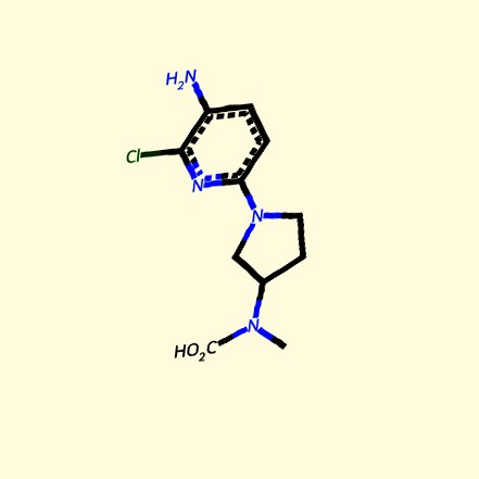 CN(C(=O)O)C1CCN(c2ccc(N)c(Cl)n2)C1